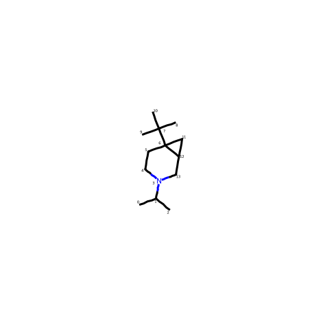 CC(C)N1CCC2(C(C)(C)C)CC2C1